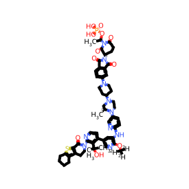 [2H]C([2H])([2H])Oc1ncc(-c2ccnc(N3CCc4c(sc5c4CCCC5)C3=O)c2C(C)(C)O)cc1Nc1ccc(N2CCN(C3CCN(c4ccc5c(c4)C(=O)N([C@H]4CCC(=O)N(C(C)OP(=O)(O)O)C4=O)C5=O)CC3)C[C@@H]2C)cn1